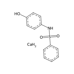 O=S(=O)(Nc1ccc(O)cc1)c1ccccc1.[CaH2]